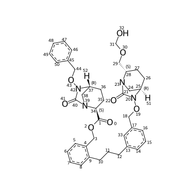 O=C(OCc1ccccc1CCCc1cccc(CON2C(=O)N3C[C@H]2CC[C@H]3COCO)c1)[C@@H]1CC[C@@H]2CN1C(=O)N2OCc1ccccc1